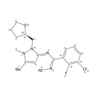 Cn1c(C(C)(C)C)cc(=NC(=NC#N)c2cccc(C(F)(F)F)c2F)n1C[C@H]1CCCO1